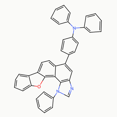 c1ccc(N(c2ccccc2)c2ccc(-c3cc4ncn(-c5ccccc5)c4c4c3ccc3c5ccccc5oc34)cc2)cc1